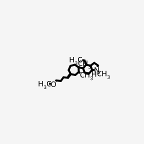 CCC1C2CCN(C)[C@@H]2CCC1[C@@]1(C)CCCC(=CCCCOC)CC1C